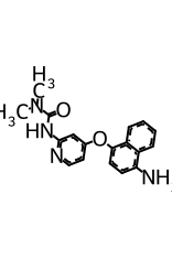 CN(C)C(=O)Nc1cc(Oc2ccc(N)c3ccccc23)ccn1